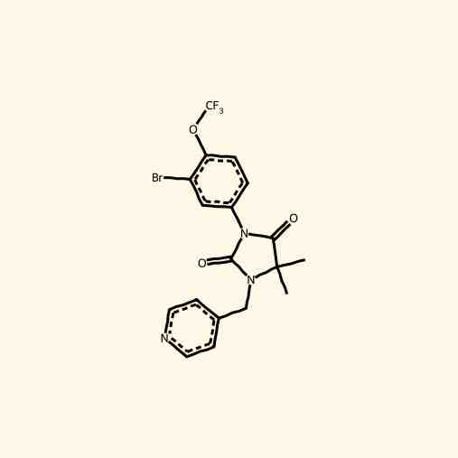 CC1(C)C(=O)N(c2ccc(OC(F)(F)F)c(Br)c2)C(=O)N1Cc1ccncc1